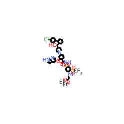 CCOC(CCNc1ccc(S(=O)(=O)NC(=O)c2ccc(N3CCC(C(O)c4ccccc4-c4ccc(Cl)cc4)CC3)cc2Oc2cnc3[nH]ccc3c2)cc1S(=O)(=O)C(F)(F)F)OCC